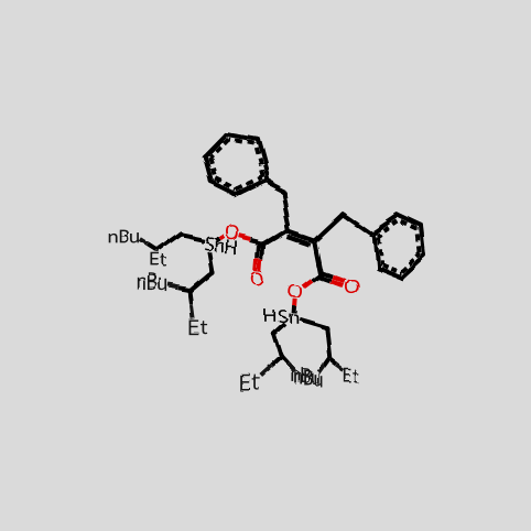 CCCCC(CC)[CH2][SnH]([CH2]C(CC)CCCC)[O]C(=O)/C(Cc1ccccc1)=C(/Cc1ccccc1)C(=O)[O][SnH]([CH2]C(CC)CCCC)[CH2]C(CC)CCCC